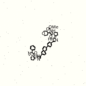 COC(=O)N[C@H](C(=O)N1CCC[C@H]1c1ncc(-c2ccc(-c3ccc4cc(-c5cnc([C@@H]6CCCN6C(=O)C(c6ccccc6)N(C)C)[nH]5)ccc4c3)cc2)[nH]1)C1CCOCC1